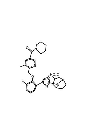 Cc1cc(C(=O)N2CCCCC2)ccc1COc1c(C)cccc1-c1csc(N2CC3CCC2CC(C(=O)O)C3)n1